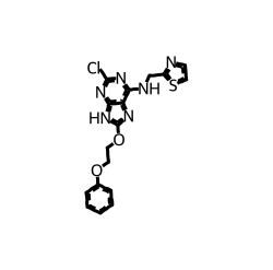 Clc1nc(NCc2nccs2)c2nc(OCCOc3ccccc3)[nH]c2n1